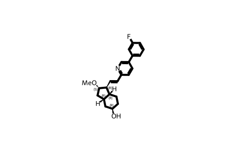 CO[C@H]1C[C@H]2C[C@H](O)CC[C@H]2[C@@H]1C=Cc1ccc(-c2cccc(F)c2)cn1